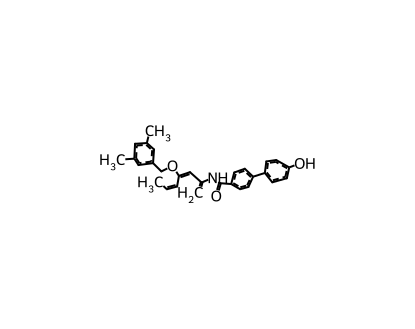 C=C(/C=C(\C=C/C)OCc1cc(C)cc(C)c1)NC(=O)c1ccc(-c2ccc(O)cc2)cc1